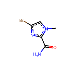 Cn1cc(Br)nc1C(N)=O